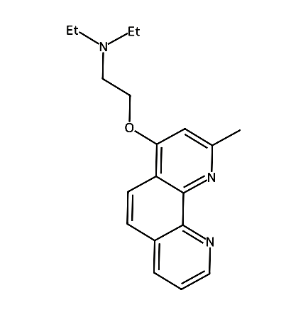 CCN(CC)CCOc1cc(C)nc2c1ccc1cccnc12